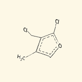 Cc1coc(Cl)c1Cl